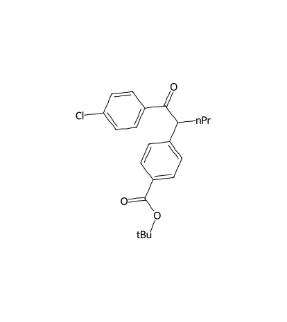 CCCC(C(=O)c1ccc(Cl)cc1)c1ccc(C(=O)OC(C)(C)C)cc1